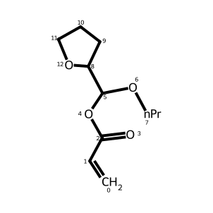 C=CC(=O)OC(OCCC)C1CCCO1